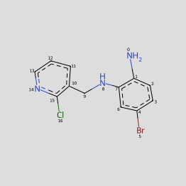 Nc1ccc(Br)cc1NCc1cccnc1Cl